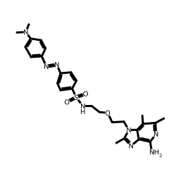 Cc1nc(N)c2nc(C)n(CCOCCNS(=O)(=O)c3ccc(/N=N/c4ccc(N(C)C)cc4)cc3)c2c1C